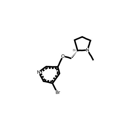 CN1CCC[C@H]1COc1cncc(Br)c1